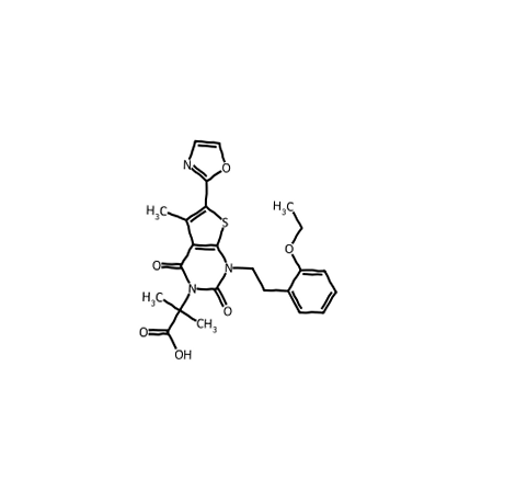 CCOc1ccccc1CCn1c(=O)n(C(C)(C)C(=O)O)c(=O)c2c(C)c(-c3ncco3)sc21